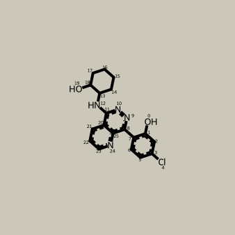 Oc1cc(Cl)ccc1-c1nnc(NC2CCCCC2O)c2cccnc12